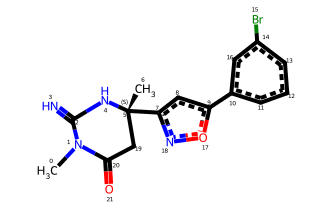 CN1C(=N)N[C@](C)(c2cc(-c3cccc(Br)c3)on2)CC1=O